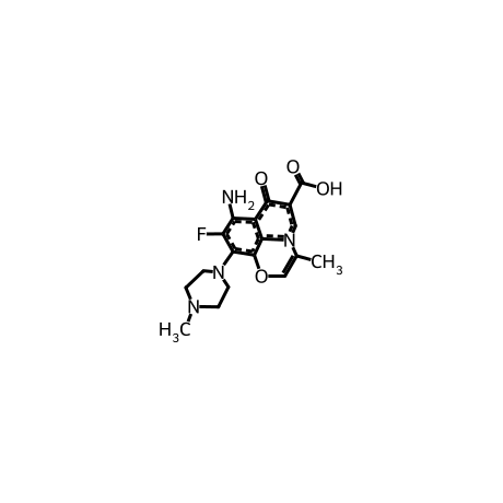 CC1=COc2c(N3CCN(C)CC3)c(F)c(N)c3c(=O)c(C(=O)O)cn1c23